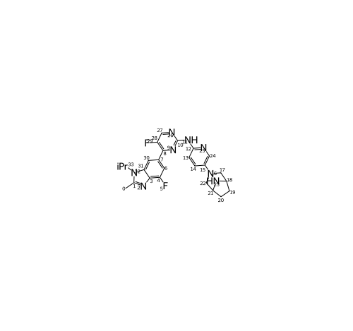 Cc1nc2c(F)cc(-c3nc(Nc4ccc(N5CC6CCC(C5)N6)cn4)ncc3F)cc2n1C(C)C